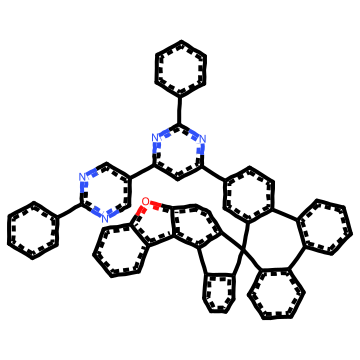 c1ccc(-c2ncc(-c3cc(-c4ccc5c(c4)C4(c6ccccc6-c6ccccc6-5)c5ccccc5-c5c4ccc4oc6ccccc6c54)nc(-c4ccccc4)n3)cn2)cc1